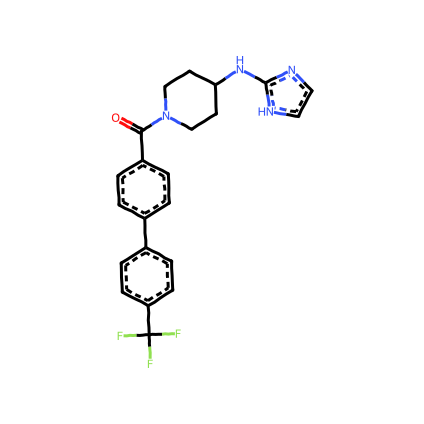 O=C(c1ccc(-c2ccc(C(F)(F)F)cc2)cc1)N1CCC(Nc2ncc[nH]2)CC1